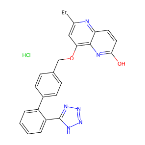 CCc1cc(OCc2ccc(-c3ccccc3-c3nnn[nH]3)cc2)c2nc(O)ccc2n1.Cl